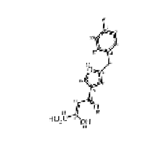 Cc1ccc(Cc2cc(C(=O)C=C(O)C(=O)O)co2)cc1